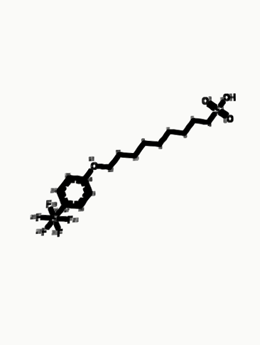 O=S(=O)(O)CCCCCCCCCOc1ccc(S(F)(F)(F)(F)F)cc1